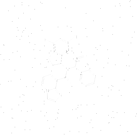 NC(=O)C(c1ccccc1)N(C(=O)c1cccn2ccnc12)C1CCc2c(F)cc(Cl)cc21